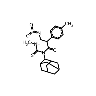 CNC(=S)N(C(=O)C(CN=S(=O)=O)c1ccc(C)cc1)C1C2CC3CC(C2)CC1C3